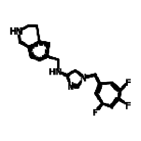 FC1=CC(CN2C=NC(NCc3ccc4c(c3)CCNC4)C2)=CC(F)C=C1F